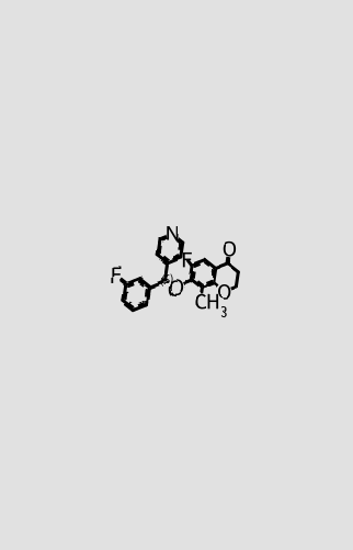 Cc1c(O[C@@H](c2ccncc2)c2cccc(F)c2)c(F)cc2c1OCCC2=O